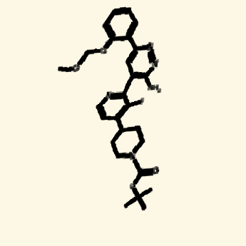 COCOc1ccccc1-c1cc(-c2nccc(C3CCN(C(=O)OC(C)(C)C)CC3)c2F)c(N)nn1